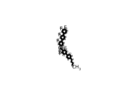 CCCCCc1ccc(-c2cc(F)c(C(F)(F)Oc3ccc(-c4ccc(-c5ccc(F)c(F)c5)c(F)c4)c(F)c3)c(F)c2)cc1